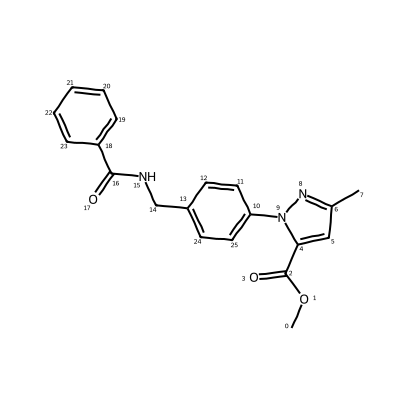 COC(=O)c1cc(C)nn1-c1ccc(CNC(=O)c2ccccc2)cc1